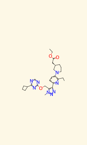 CCOC(=O)C[C@H]1CCCN(c2ccc(-c3nnn(C)c3COc3ncnc(C4CCC4)n3)nc2CC)C1